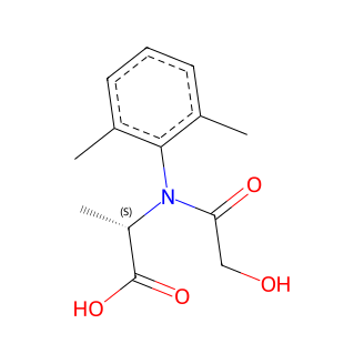 Cc1cccc(C)c1N(C(=O)CO)[C@@H](C)C(=O)O